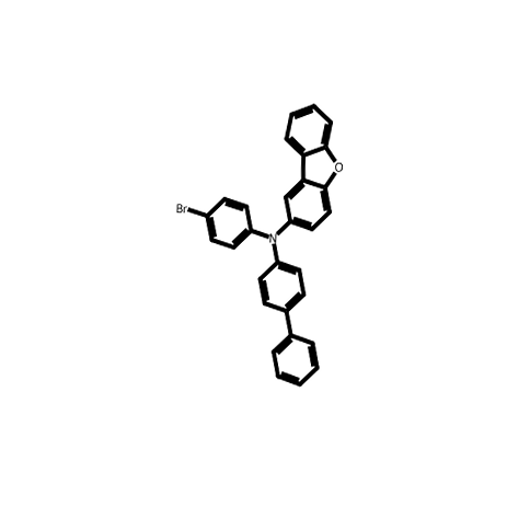 Brc1ccc(N(c2ccc(-c3ccccc3)cc2)c2ccc3oc4ccccc4c3c2)cc1